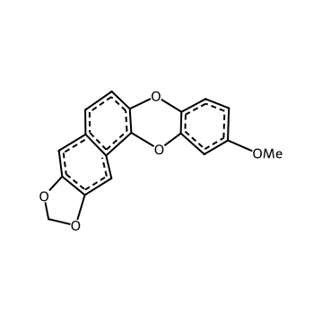 COc1ccc2c(c1)Oc1c(ccc3cc4c(cc13)OCO4)O2